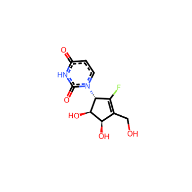 O=c1ccn([C@@H]2C(F)=C(CO)[C@@H](O)[C@H]2O)c(=O)[nH]1